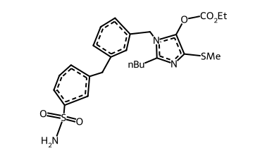 CCCCc1nc(SC)c(OC(=O)OCC)n1Cc1cccc(Cc2cccc(S(N)(=O)=O)c2)c1